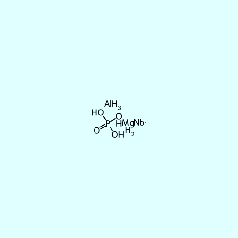 O=P(O)(O)O.[AlH3].[MgH2].[Nb]